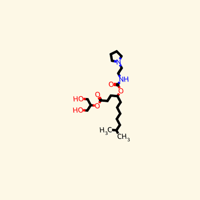 CC(C)CCCCCC(CCC(=O)OC(CO)CO)OC(=O)NCCN1CCCC1